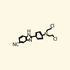 N#Cc1ccc2[nH]c(-c3ccc(N(CCCl)CCCl)cc3)nc2c1